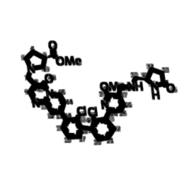 COC(=O)[C@H]1CCN(Cc2cnc3cc(-c4cccc(-c5cccc(-c6ccc(CNC[C@H]7CCC(=O)N7)c(OC)n6)c5Cl)c4Cl)ccn3c2=O)C1